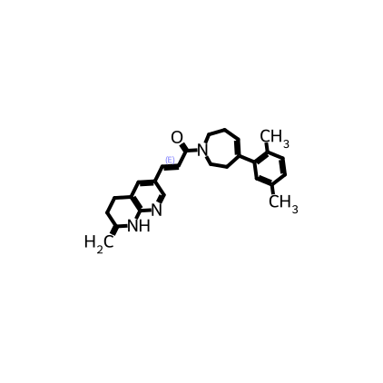 C=C1CCc2cc(/C=C/C(=O)N3CCC=C(c4cc(C)ccc4C)CC3)cnc2N1